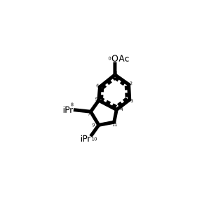 CC(=O)Oc1ccc2c(c1)C(C(C)C)C(C(C)C)C2